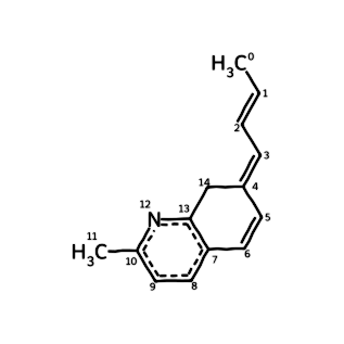 C/C=C/C=C1/C=Cc2ccc(C)nc2C1